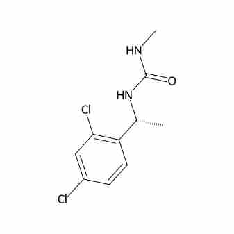 CNC(=O)N[C@H](C)c1ccc(Cl)cc1Cl